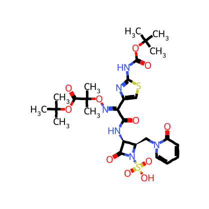 CC(C)(C)OC(=O)Nc1nc(C(=NOC(C)(C)C(=O)OC(C)(C)C)C(=O)N[C@@H]2C(=O)N(S(=O)(=O)O)[C@@H]2Cn2ccccc2=O)cs1